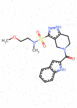 COCCN(C)S(=O)(=O)c1n[nH]c2c1CN(C(=O)c1cc3ccccc3[nH]1)CC2